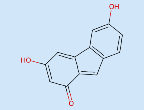 O=C1C=C(O)C=C2C1=Cc1ccc(O)cc12